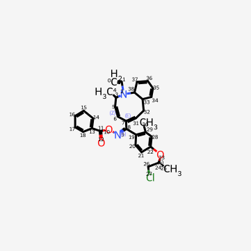 C=CN1C(C)\C=C/C(C(=N\OC(=O)c2ccccc2)/c2ccc(O[C@@H](C)CCl)cc2C)=C\CC2C=CC=CC21